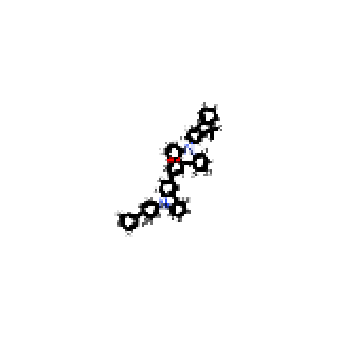 CC1(C)c2ccccc2-c2ccc(N(c3ccccc3)c3ccccc3-c3cccc(-c4ccc5c(c4)c4ccccc4n5-c4ccc(-c5ccccc5)cc4)c3)cc21